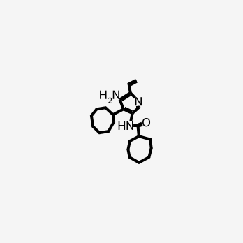 C=Cc1ncc(NC(=O)C2CCCCCCC2)c(C2CCCCCCC2)c1N